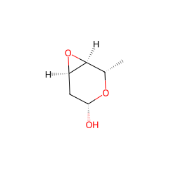 C[C@@H]1O[C@H](O)C[C@H]2O[C@@H]12